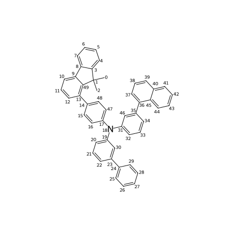 CC1(C)c2ccccc2-c2cccc(-c3ccc(N(c4cccc(-c5ccccc5)c4)c4cccc(-c5cccc6ccccc56)c4)cc3)c21